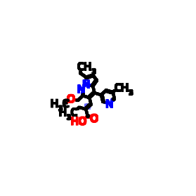 CC/C(=C\c1c(COC)nn2c(CC)ccc2c1-c1cncc(C)c1)C(=O)O